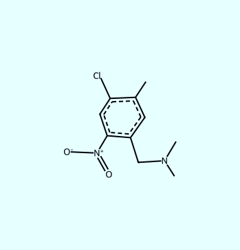 Cc1cc(CN(C)C)c([N+](=O)[O-])cc1Cl